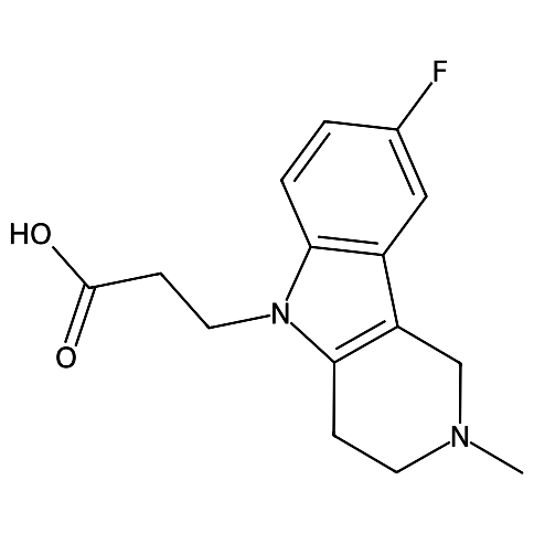 CN1CCc2c(c3cc(F)ccc3n2CCC(=O)O)C1